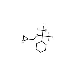 FC(F)(F)C(OCC1CO1)(C1CCCCC1)C(F)(F)F